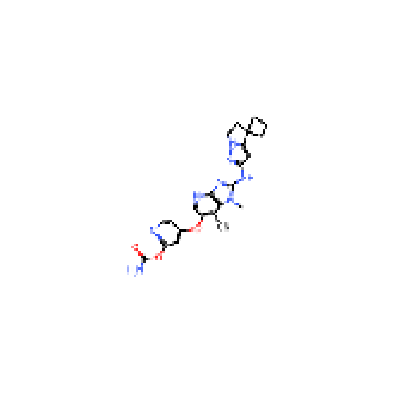 Cn1c(Nc2cc3n(n2)CCC32CCC2)nc2ncc(Oc3ccnc(OC(N)=O)c3)c(C#N)c21